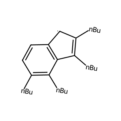 CCCCC1=C(CCCC)c2c(ccc(CCCC)c2CCCC)[CH]1